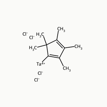 CC1=C(C)C(C)(C)[C]([Ta+4])=C1C.[Cl-].[Cl-].[Cl-].[Cl-]